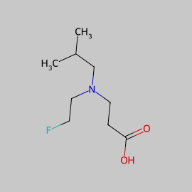 CC(C)CN(CCF)CCC(=O)O